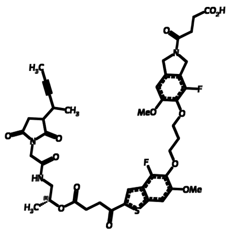 CC#CC(C)C1CC(=O)N(CC(=O)NC[C@@H](C)OC(=O)CCC(=O)c2cc3c(F)c(OCCCOc4c(OC)cc5c(c4F)CN(C(=O)CCC(=O)O)C5)c(OC)cc3s2)C1=O